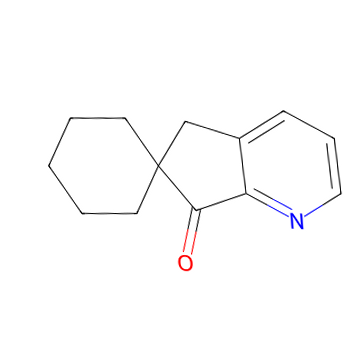 O=C1c2ncccc2CC12CCCCC2